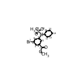 COC(=O)c1cc(Br)cc(N(c2ccccc2)S(C)(=O)=O)c1